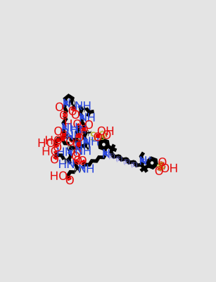 CC[N+]1=C(/C=C/C=C/C=C/C=C2/N(CCCCCC(=O)N[C@H](CCC(=O)O)C(=O)N[C@H](CCC(=O)O)C(=O)N[C@H](CCC(=O)O)C(=O)N[C@H](CCC(=O)O)C(=O)N[C@H](CCC(=O)O)C(=O)NCCOCC(=O)N3CCC[C@H]3C(=O)N[C@@H](CC(C)C)C(=O)NCC(=O)N[C@@H](CSC)C(=O)N[C@@H](C)C(=O)NC)c3ccc(S(=O)(=O)O)cc3C2(C)C)C(C)(C)c2cc(S(=O)(=O)O)ccc21